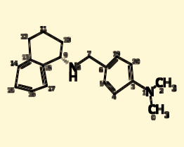 CN(C)c1ccc(CN[C@H]2CCCc3ccccc32)cc1